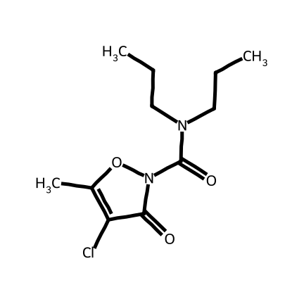 CCCN(CCC)C(=O)n1oc(C)c(Cl)c1=O